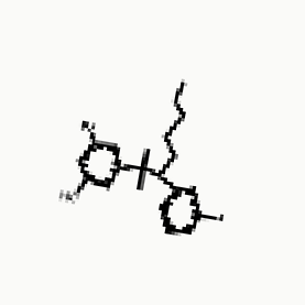 CCCCCC(c1cccc(F)c1)C(C)(C)c1cc(O)cc(O)c1